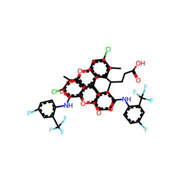 Cc1cc2c(-c3ccccc3C(CCC(=O)O)c3ccccc3-c3c(CC(=O)Nc4ccc(F)cc4C(F)(F)F)c(=O)oc4cc(Cl)c(C)cc34)c(CC(=O)Nc3ccc(F)cc3C(F)(F)F)c(=O)oc2cc1Cl